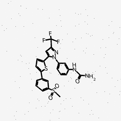 CS(=O)(=O)c1cccc(-c2ccc(-c3cc(C(F)(F)F)nn3-c3cccc(NC(N)=O)c3)s2)c1